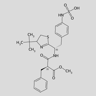 COC(=O)[C@@H](Cc1ccccc1)C(=O)N[C@@H](Cc1ccc(NS(=O)(=O)O)cc1)C1=NC(C(C)(C)C)CS1